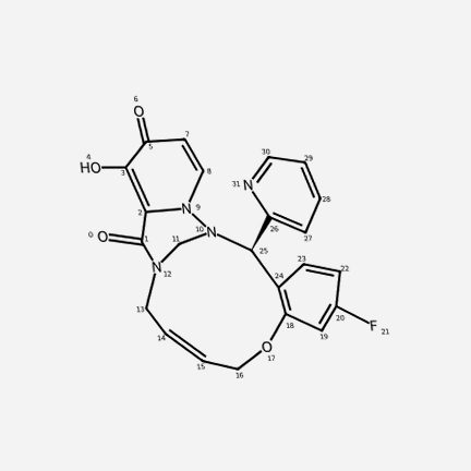 O=C1c2c(O)c(=O)ccn2N2CN1C/C=C\COc1cc(F)ccc1[C@@H]2c1ccccn1